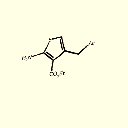 CCOC(=O)c1c(CC(C)=O)csc1N